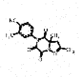 CC12CC(C(F)(F)F)=NN1C(=O)C(=O)N(c1ccc(C#N)c(C(F)(F)F)c1)C2=O